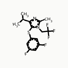 Cc1nc(C(C)C)c(Sc2cc(F)cc(F)c2)n1CC(F)(F)F